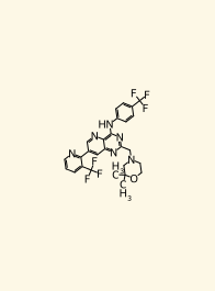 CC1(C)CN(Cc2nc(Nc3ccc(C(F)(F)F)cc3)c3ncc(-c4ncccc4C(F)(F)F)cc3n2)CCO1